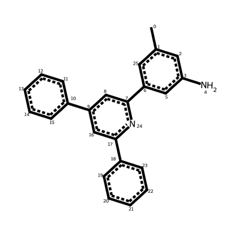 Cc1cc(N)cc(-c2cc(-c3ccccc3)cc(-c3ccccc3)n2)c1